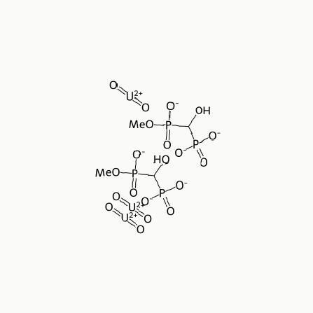 COP(=O)([O-])C(O)P(=O)([O-])[O-].COP(=O)([O-])C(O)P(=O)([O-])[O-].[O]=[U+2]=[O].[O]=[U+2]=[O].[O]=[U+2]=[O]